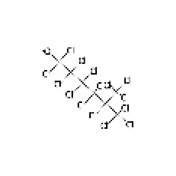 [O]C(Cl)(Cl)C(Cl)(Cl)C(Cl)(Cl)C(Cl)(Cl)C(Cl)(C(Cl)(Cl)Cl)C(Cl)(Cl)Cl